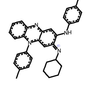 Cc1ccc(Nc2cc3nc4ccccc4n(-c4ccc(C)cc4)c-3c/c2=N\C2CCCCC2)cc1